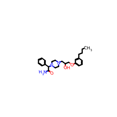 CCCCc1cccc(OCC(O)CN2CCN(C(C(N)=O)c3ccccc3)CC2)c1